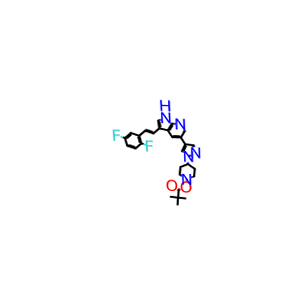 CC(C)(C)C(=O)ON1CCC(n2cc(-c3cnc4[nH]cc(/C=C/c5cc(F)ccc5F)c4c3)cn2)CC1